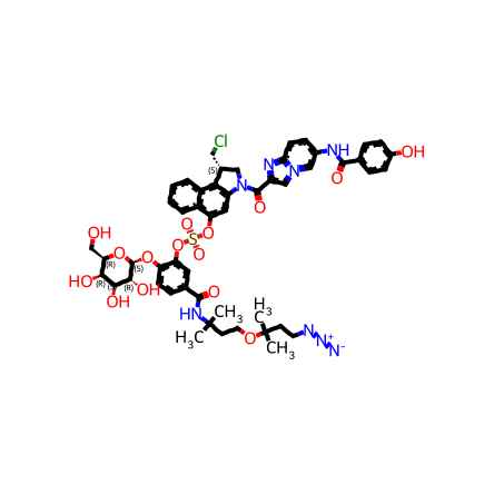 CC(C)(CCOC(C)(C)CCN=[N+]=[N-])NC(=O)c1ccc(O[C@@H]2O[C@H](CO)[C@H](O)[C@H](O)[C@H]2O)c(OS(=O)(=O)Oc2cc3c(c4ccccc24)[C@H](CCl)CN3C(=O)c2cn3cc(NC(=O)c4ccc(O)cc4)ccc3n2)c1